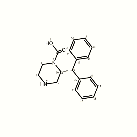 O=C(O)N1CCNC[C@H]1C(c1ccccc1)c1ccccc1